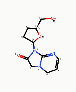 O=C1CN2CC=CN=C2N1[C@H]1CC[C@@H](CO)O1